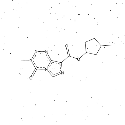 CC1CCC(OC(=O)c2ncn3c(=O)n(C)nnc23)C1